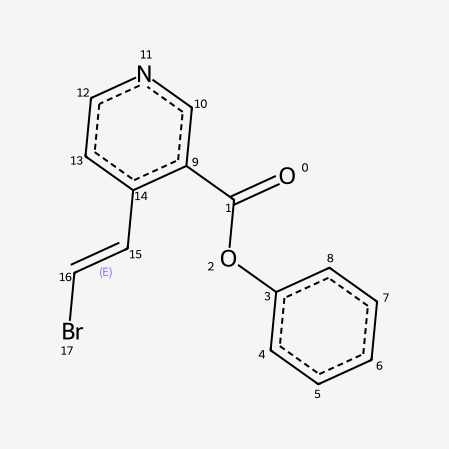 O=C(Oc1ccccc1)c1cnccc1/C=C/Br